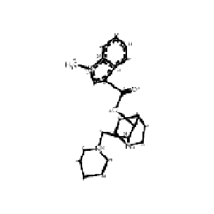 Cn1cc(C(=O)OC2C3CCN(CC3)C2CN2CCCCC2)c2ccccc21